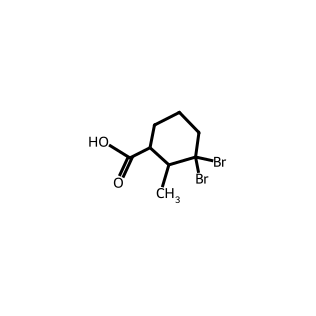 CC1C(C(=O)O)CCCC1(Br)Br